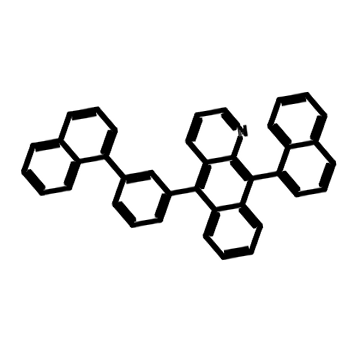 c1cc(-c2cccc3ccccc23)cc(-c2c3ccccc3c(-c3cccc4ccccc34)c3ncccc23)c1